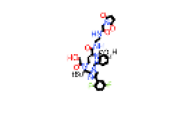 CC(C)(C)[C@H](c1nc(-c2cc(F)ccc2F)cn1Cc1ccccc1)N(CC[C@H](NC(=O)O)C(=O)NCCNC(=O)CN1C(=O)C=CC1=O)C(=O)CO